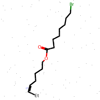 CC/C=C\CCCCOC(=O)CCCCCCCBr